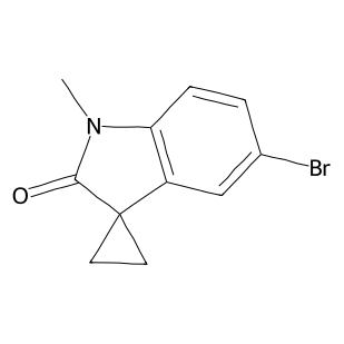 CN1C(=O)C2(CC2)c2cc(Br)ccc21